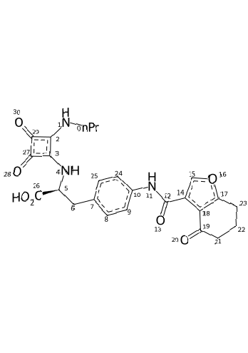 CCCNc1c(N[C@@H](Cc2ccc(NC(=O)c3coc4c3C(=O)CCC4)cc2)C(=O)O)c(=O)c1=O